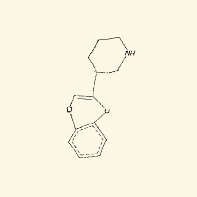 [CH]1CCNC[C]1C1=COc2ccccc2O1